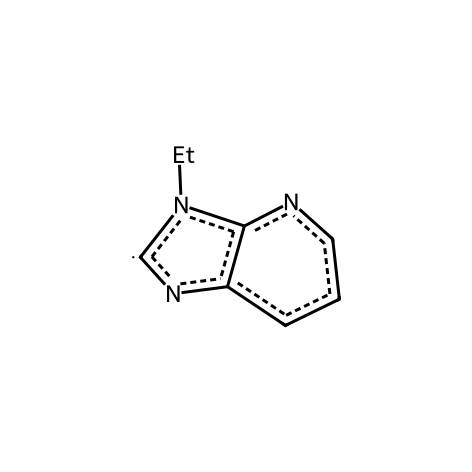 CCn1[c]nc2cccnc21